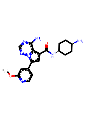 COc1cc(-c2cc(C(=O)N[C@H]3CC[C@H](N)CC3)c3c(N)ncnn23)ccn1